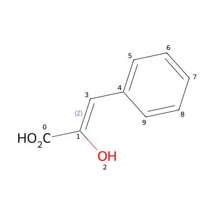 O=C(O)/C(O)=C/c1ccccc1